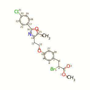 COC(=O)C(Br)Cc1ccc(OCCc2nc(-c3ccc(Cl)cc3)oc2C)cc1